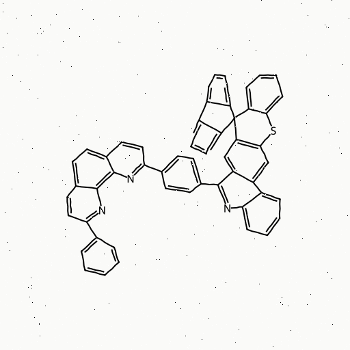 c1ccc(-c2ccc3ccc4ccc(-c5ccc(-c6nc7ccccc7c7cc8c(cc67)C6(c7ccccc7S8)c7ccccc7-c7ccccc76)cc5)nc4c3n2)cc1